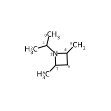 CC(C)N1C(C)CC1C